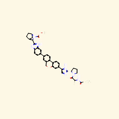 COC(=O)N[C@H](C(=O)N1CCC[C@H]1c1ncc(-c2ccc3c(c2)OCc2cc(-c4ccc5nc(C6C7CCC(C7)N6C(=O)OC(C)(C)C)[nH]c5c4)ccc2-3)[nH]1)C(C)C